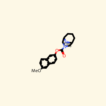 COc1ccc2cc(OC(=O)N3CC4CCCC(C3)N4C)ccc2c1